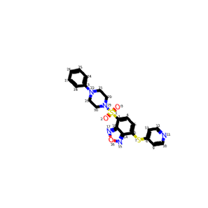 O=S(=O)(c1ccc(Sc2ccncc2)c2nonc12)N1CCN(c2ccccc2)CC1